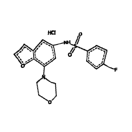 Cl.O=S(=O)(Nc1cc(N2CCOCC2)c2occc2c1)c1ccc(F)cc1